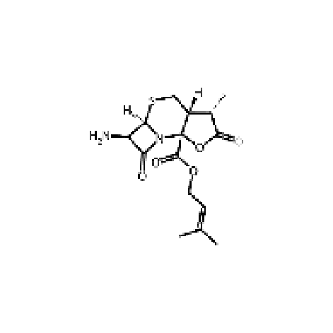 CC(C)=CCOC(=O)[C@]12OC(=O)[C@@H](C)[C@H]1CS[C@@H]1[C@H](N)C(=O)N12